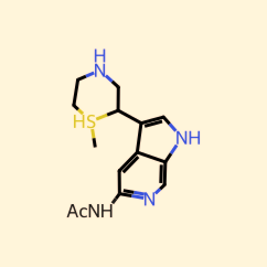 CC(=O)Nc1cc2c(C3CNCC[SH]3C)c[nH]c2cn1